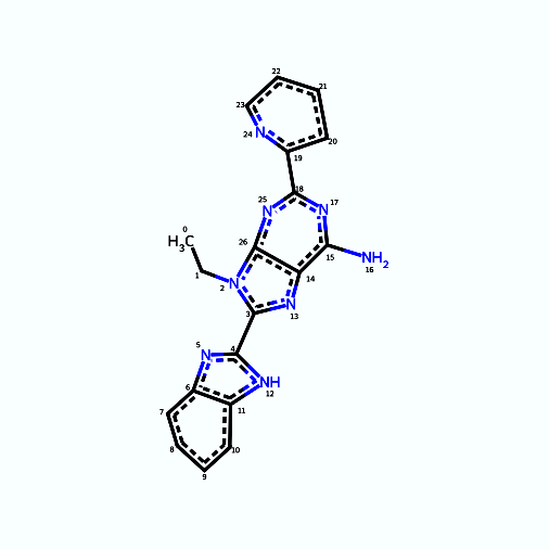 CCn1c(-c2nc3ccccc3[nH]2)nc2c(N)nc(-c3ccccn3)nc21